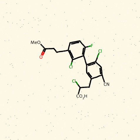 COC(=O)CCc1c[c]c(F)c(-c2cc(CC(Cl)C(=O)O)c(C#N)cc2Cl)c1Cl